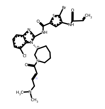 C=CC(=O)Nc1cc(C(=O)Nc2nc3cccc(Cl)c3n2[C@@H]2CCCCN(C(=O)/C=C/CN(C)C)C2)sc1Br